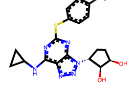 O[C@@H]1[C@H](O)CC[C@H]1n1nnc2c(NC3CC3)nc(Sc3ccc(C(F)(F)F)cc3)nc21